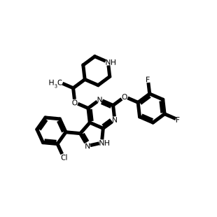 CC(Oc1nc(Oc2ccc(F)cc2F)nc2[nH]nc(-c3ccccc3Cl)c12)C1CCNCC1